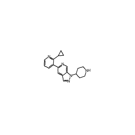 c1cnc(C2CC2)c(-c2cc3cnn(C4CCNCC4)c3cn2)c1